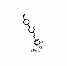 C=CC1CCC(C2CCC(COc3ccc(OCCCCC)c(F)c3F)CC2)CC1